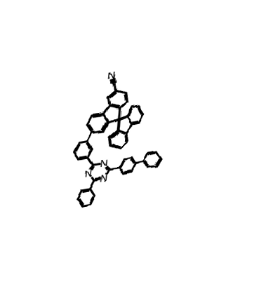 N#Cc1ccc2c(c1)-c1ccc(-c3cccc(-c4nc(-c5ccccc5)nc(-c5ccc(-c6ccccc6)cc5)n4)c3)cc1C21c2ccccc2-c2ccccc21